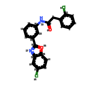 O=C(Cc1ccccc1Cl)Nc1cccc(-c2nc3cc(Cl)ccc3o2)c1